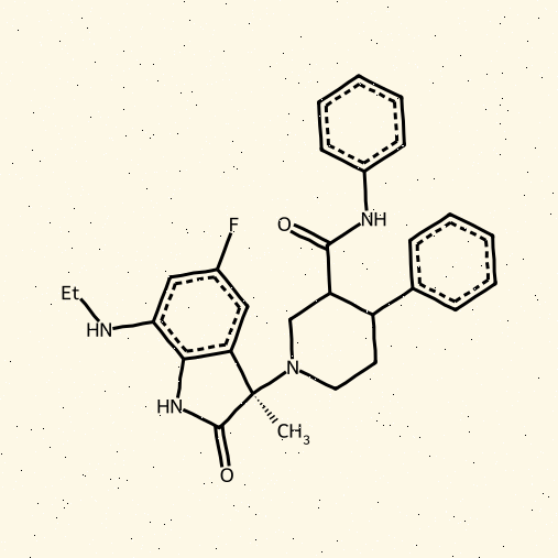 CCNc1cc(F)cc2c1NC(=O)[C@]2(C)N1CCC(c2ccccc2)C(C(=O)Nc2ccccc2)C1